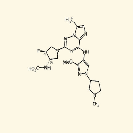 COc1nn(C2CCN(C)C2)cc1Nc1nc(N2C[C@H](NC(=O)O)[C@@H](F)C2)nn2c(C)cnc12